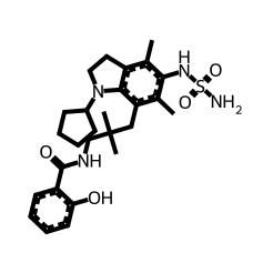 Cc1c2c(c(CC(C)(C)CNC(=O)c3ccccc3O)c(C)c1NS(N)(=O)=O)N(C1CCCC1)CC2